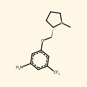 CN1CCC[C@H]1COc1cc(N)cc(C(F)(F)F)c1